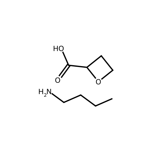 CCCCN.O=C(O)C1CCO1